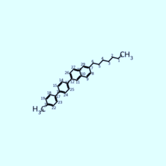 CCCCCCCc1ccc2cc(-c3ccc(-c4ccc(C)cc4)cc3)ccc2c1